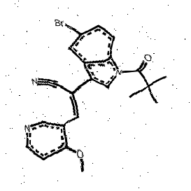 COc1ccncc1C=C(C#N)c1cn(C(=O)C(C)(C)C)c2ccc(Br)cc12